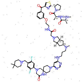 CN[C@@H](C)C(=O)N[C@@H](C)C(=O)N1CCC[C@H]1c1nc(C(=O)c2cccc(OCCNC(=O)CN3C[C@H]4C[C@@H](N(C)CCCNc5cc(N6CCC7(CC6)CN(c6cc(F)c(CN8CCC(C)(C)CC8)cc6F)CC(=O)N7)ncn5)C[C@H]4C3)c2)cs1